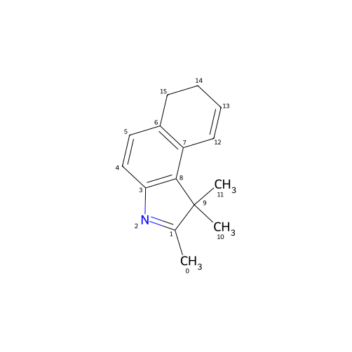 CC1=Nc2ccc3c(c2C1(C)C)C=CCC3